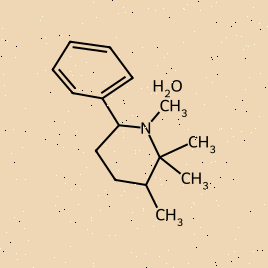 CC1CCC(c2ccccc2)N(C)C1(C)C.O